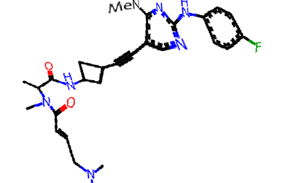 CNc1nc(Nc2ccc(F)cc2)ncc1C#CC1CC(NC(=O)C(C)N(C)C(=O)C=CCN(C)C)C1